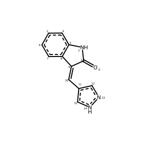 O=C1Nc2ccccc2C1=Cc1cn[nH]c1